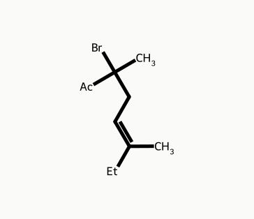 CCC(C)=CCC(C)(Br)C(C)=O